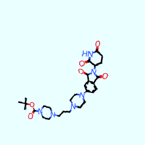 CC(C)(C)OC(=O)N1CCN(CCCN2CCN(c3ccc4c(c3)C(=O)N(C3CCC(=O)NC3=O)C4=O)CC2)CC1